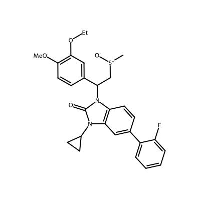 CCOc1cc(C(C[S+](C)[O-])n2c(=O)n(C3CC3)c3cc(-c4ccccc4F)ccc32)ccc1OC